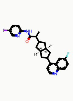 CC(C(=O)Nc1ccc(I)cn1)C1C[C@H]2CC(c3ccnc4ccc(F)cc34)C[C@H]2C1